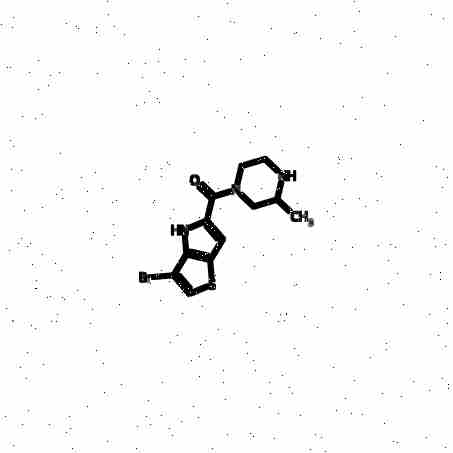 CC1CN(C(=O)c2cc3scc(Br)c3[nH]2)CCN1